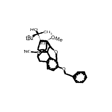 CO[C@]12CC3(C[C@@H]1C(C)(O)C(C)(C)C)C1Cc4ccc(OCc5ccccc5)c5c4C3(CCN1C#N)C2O5